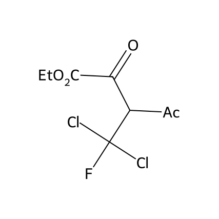 CCOC(=O)C(=O)C(C(C)=O)C(F)(Cl)Cl